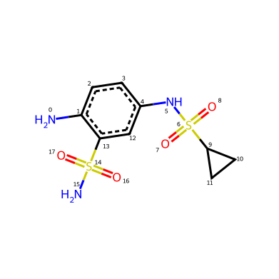 Nc1ccc(NS(=O)(=O)C2CC2)cc1S(N)(=O)=O